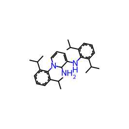 CC(C)c1cccc(C(C)C)c1NC1=CC=CN(c2c(C(C)C)cccc2C(C)C)C1N